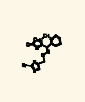 Cn1oc(=O)nc1/C(=N\OCc1csc(Br)n1)c1ccccc1